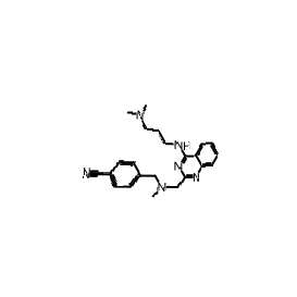 CN(C)CCCNc1nc(CN(C)Cc2ccc(C#N)cc2)nc2ccccc12